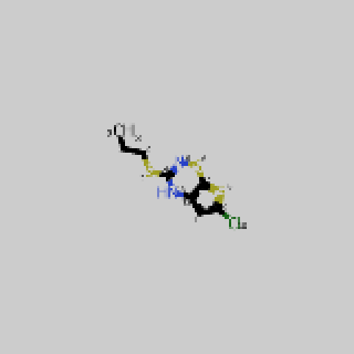 CCCSC1=NSc2sc(Cl)cc2N1